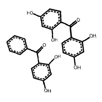 O=C(c1ccc(O)cc1O)c1ccc(O)cc1O.O=C(c1ccccc1)c1ccc(O)cc1O